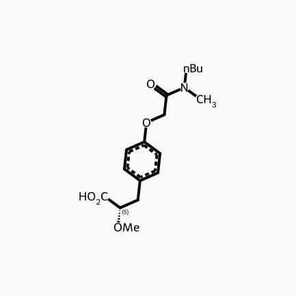 CCCCN(C)C(=O)COc1ccc(C[C@H](OC)C(=O)O)cc1